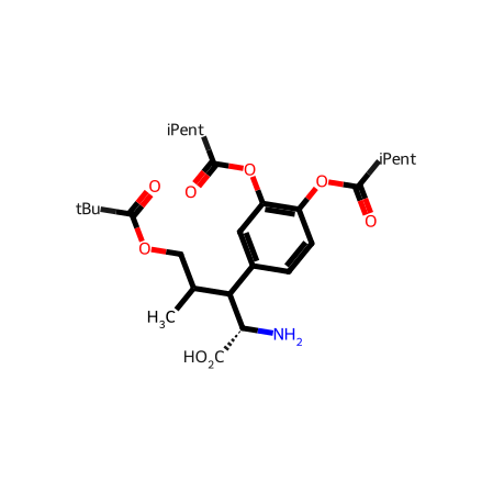 CCCC(C)C(=O)Oc1ccc(C(C(C)COC(=O)C(C)(C)C)[C@H](N)C(=O)O)cc1OC(=O)C(C)CCC